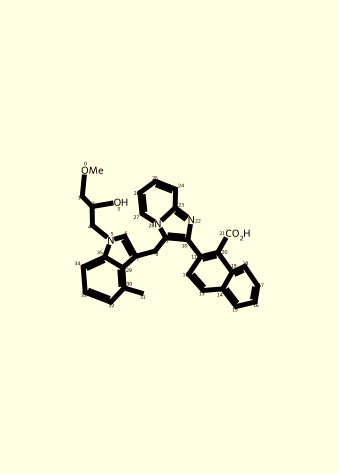 COCC(O)Cn1cc(Cc2c(-c3ccc4ccccc4c3C(=O)O)nc3ccccn23)c2c(C)cccc21